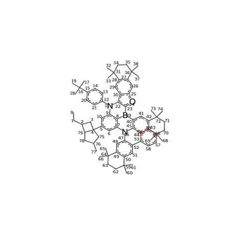 CCC1CC2(c3cc4c5c(c3)N(c3ccc(C(C)(C)C)cc3)c3c(oc6cc7c(cc36)C(C)(C)CCC7(C)C)B5c3cc5c(cc3N4c3cc4c(cc3-c3ccccc3)C(C)(C)CCC4(C)C)C(C)(C)CCC5(C)C)CC(C)CC12